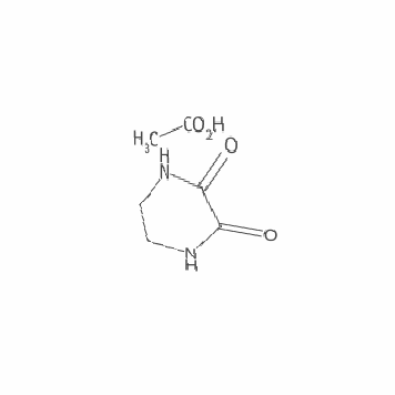 CC(=O)O.O=C1NCCNC1=O